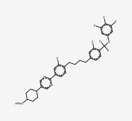 CCCCCC1CCC(c2cnc(-c3ccc(CCCCc4ccc(C(F)(F)Oc5cc(F)c(F)c(F)c5)c(F)c4)c(F)c3)nc2)CC1